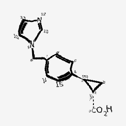 O=C(O)[C@H]1C[C@@H]1c1ccc(Cn2ccnc2)cc1